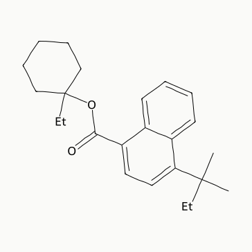 CCC1(OC(=O)c2ccc(C(C)(C)CC)c3ccccc23)CCCCC1